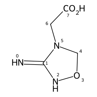 N=C1NOCN1CC(=O)O